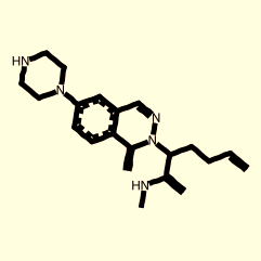 C=CCCC(C(=C)NC)N1N=Cc2cc(N3CCNCC3)ccc2C1=C